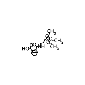 CCO[Si](CCCNC(=O)C1C2C=CC(CC2)C1C(=O)O)(OCC)OCC